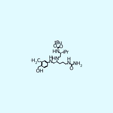 [CH2]c1cc(NC[C@H](CCCNC(N)=O)NC[C@@H](NC(=O)OC(C)(C)C)C(C)C)ccc1CO